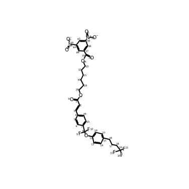 O=C(C=Cc1ccc(C(F)(F)Oc2ccc(CCCC(F)(F)F)cc2)cc1)OCCCCCCOC(=O)c1cc([N+](=O)[O-])cc([N+](=O)[O-])c1